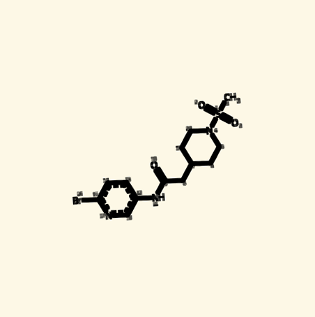 CS(=O)(=O)N1CCC(CC(=O)Nc2ccc(Br)nc2)CC1